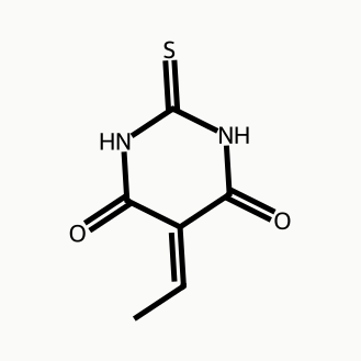 CC=C1C(=O)NC(=S)NC1=O